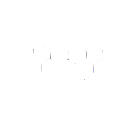 Cc1ccc(OC(=O)N2CCNc3ccccc32)c(Cl)c1